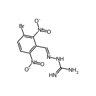 N=C(N)NN=Cc1c([N+](=O)[O-])ccc(Br)c1[N+](=O)[O-]